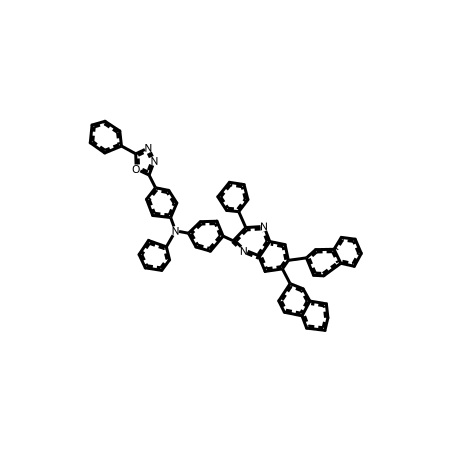 c1ccc(-c2nnc(-c3ccc(N(c4ccccc4)c4ccc(-c5nc6cc(-c7ccc8ccccc8c7)c(-c7ccc8ccccc8c7)cc6nc5-c5ccccc5)cc4)cc3)o2)cc1